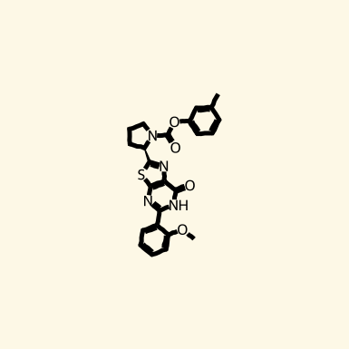 COc1ccccc1-c1nc2sc([C@H]3CCCN3C(=O)Oc3cccc(C)c3)nc2c(=O)[nH]1